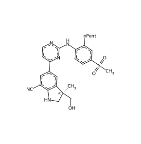 CCCCCc1cc(S(C)(=O)=O)ccc1Nc1nccc(-c2cc(C#N)c3c(c2)[C@@](C)(CO)CN3)n1